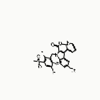 CCc1ccc2c(c1)c1c3cccnc3oc(=O)c1n2Cc1c(F)c(F)cc(S(C)(=O)=O)c1F